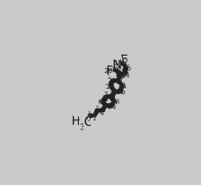 CCCCCc1ccc(C2CCC(c3ccc(F)nc3F)CC2)cc1